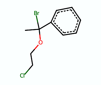 CC(Br)(OCCCl)c1ccccc1